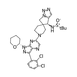 CC(C)(C)[S@@+]([O-])N[C@@H]1c2cnnn2CC12CCN(c1cnc3c(-c4cccc(Cl)c4Cl)nn([C@H]4CCCCO4)c3n1)CC2